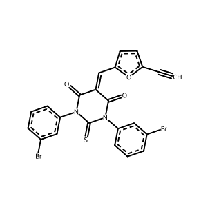 C#Cc1ccc(C=C2C(=O)N(c3cccc(Br)c3)C(=S)N(c3cccc(Br)c3)C2=O)o1